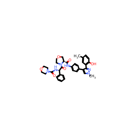 Cc1ccc(O)c(-c2nn(C)cc2-c2ccc(NC(=O)[C@@H]3COCCN3C(=O)[C@H](NC(=O)N3CCOCC3)c3ccccc3)cc2)c1